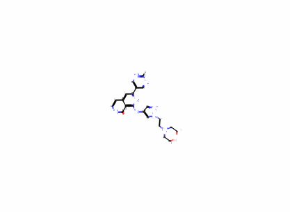 Cc1ncc(-c2cc3cc[nH]c(=O)c3c(Nc3cnn(CCN4CCOCC4)c3)n2)cn1